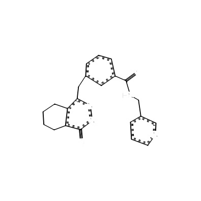 O=C(NCc1cccnc1)c1cccc(Cc2n[nH]c(=O)c3c2CCCC3)c1